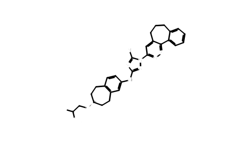 CC(C)CN[C@H]1CCc2ccc(Nc3nc(N)n(-c4cc5c(nn4)-c4ccccc4CCC5)n3)cc2CC1